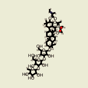 C/C=C(\C)C(=O)OC1C(OC(C)=O)C2C(CC1(C)C)C1=CCC3C4(C)CCC(OC5OC(CO)C(O)C(OC6OC(CO)C(O)C(OC7OC(C)C(O)C(O)C7O)C6O)C5O)C(C)(C)C4CCC3(C)C1(C)C(OC(C)=O)C2OC(C)=O